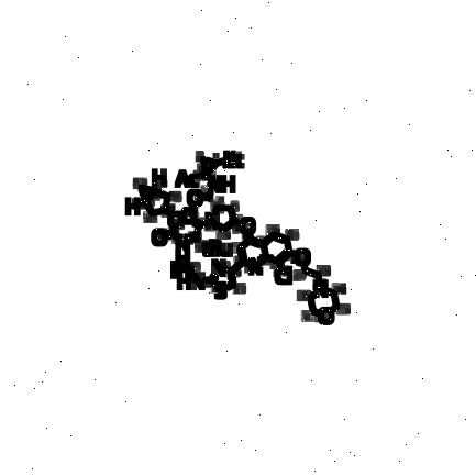 CCC1C[C@]1(NC(=O)[C@@H]1C[C@@H](Oc2cc(-c3csc(NC(C)C)n3)nc3c(Cl)c(OCCN4CCOCC4)ccc23)CN1C(=O)[C@@H](NC(=O)O[C@@H]1C[C@@H]2C[C@@H]2C1)C(C)(C)C)C(C)=O